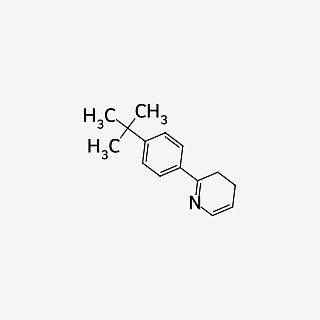 CC(C)(C)c1ccc(C2=NC=CCC2)cc1